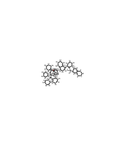 CC1(C)c2cc3ccccc3cc2-c2cccc(-c3ccc(-c4nc(-c5ccccc5)cc(-c5cccc6c5C(c5ccccc5)(c5ccccc5)c5ccccc5-6)n4)c4ccccc34)c21